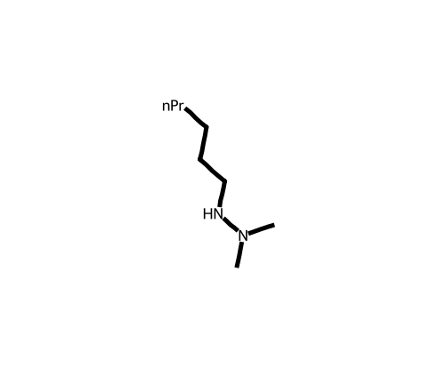 CCCCCCNN(C)C